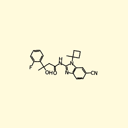 CC(O)(CC(=O)Nc1nc2ccc(C#N)cc2n1C1(C)CCC1)c1ccccc1F